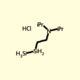 CC(C)N(CC[SiH2][SiH3])C(C)C.Cl